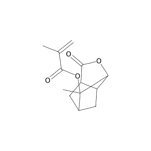 C=C(C)C(=O)OC1(C)C2CC3C(=O)OC1C3C2